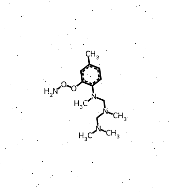 Cc1ccc(N(C)CN(C)CN(C)C)c(OON)c1